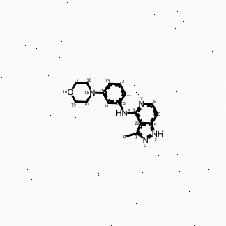 Cc1n[nH]c2ccnc(Nc3cccc(N4CCOCC4)c3)c12